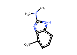 CN(C)c1nc2c([N+](=O)[O-])cccc2[nH]1